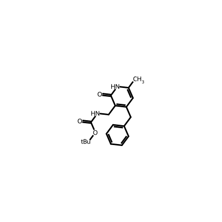 Cc1cc(Cc2ccccc2)c(CNC(=O)OC(C)(C)C)c(=O)[nH]1